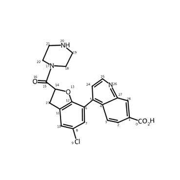 O=C(O)c1ccc2c(-c3cc(Cl)cc4c3OC(C(=O)N3CCNCC3)C4)ccnc2c1